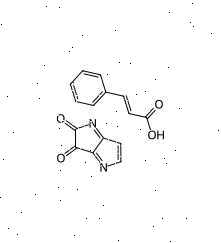 O=C(O)C=Cc1ccccc1.O=c1nc2ccnc-2c1=O